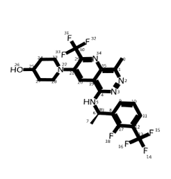 Cc1nnc(N[C@H](C)c2cccc(C(F)(F)F)c2F)c2cc(N3CCC(O)CC3)c(C(F)(F)F)nc12